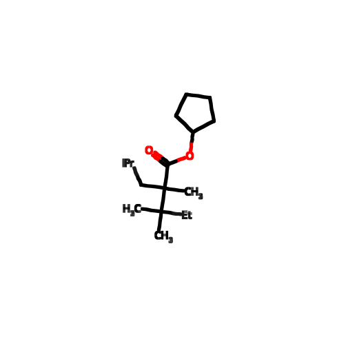 CCC(C)(C)C(C)(CC(C)C)C(=O)OC1CCCC1